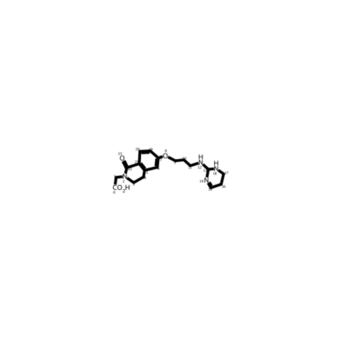 O=C(O)CN1CCc2cc(OCCCNC3N=CCCN3)ccc2C1=O